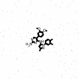 COc1ccc(-c2cnc(N)nc2Nc2cc(C)nn2-c2ccc(C)c(C)c2)cc1OC